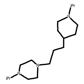 CC(C)N1CCC(CCCN2CCN(C(C)C)CC2)CC1